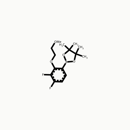 COCCOc1c(B2OC(C)(C)C(C)(C)O2)ccc(F)c1F